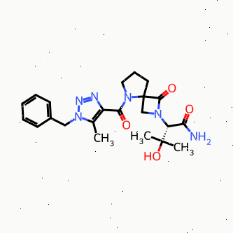 Cc1c(C(=O)N2CCCC23CN([C@H](C(N)=O)C(C)(C)O)C3=O)nnn1Cc1ccccc1